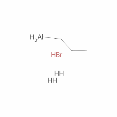 Br.CC[CH2][AlH2].[HH].[HH]